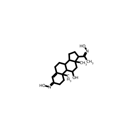 C/C(=N/O)C1CCC2C3CCC4=C/C(=N\O)CCC4(C)C3C(O)CC12C